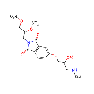 CC(C)(C)NCC(O)COc1ccc2c(c1)C(=O)N(CC(CO[N+](=O)[O-])O[N+](=O)[O-])C2=O